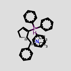 CN(C)[C@H](c1ccccc1)[C@@H]1CCC=C1[PH](c1ccccc1)(c1ccccc1)c1ccccc1